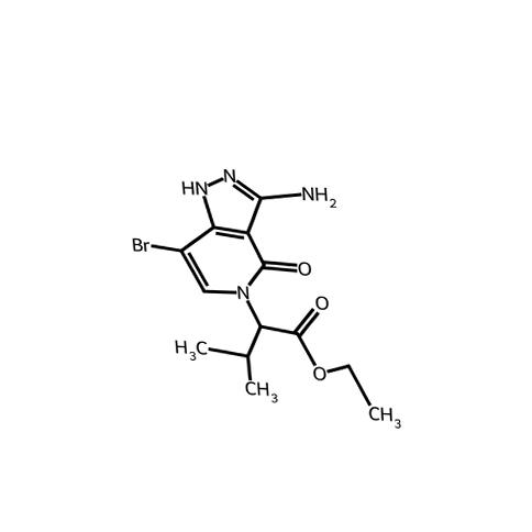 CCOC(=O)C(C(C)C)n1cc(Br)c2[nH]nc(N)c2c1=O